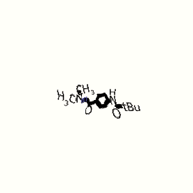 CN(C)/C=C/C(=O)c1ccc(NC(=O)C(C)(C)C)cc1